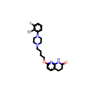 CCc1c(F)cccc1N1CCN(CCCCOc2ccc3c(n2)NC(=O)CC3)CC1